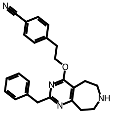 N#Cc1ccc(CCOc2nc(Cc3ccccc3)nc3c2CCNCC3)cc1